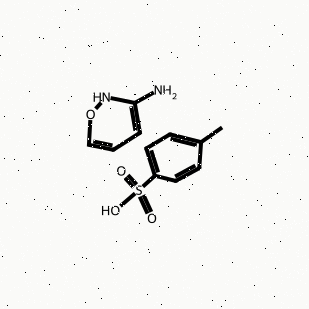 Cc1ccc(S(=O)(=O)O)cc1.NC1=CC=CON1